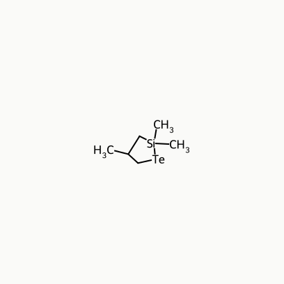 CC1C[Te][Si](C)(C)C1